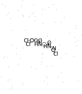 O=C(COc1ccc(Cl)c(Cl)c1)N[C@H]1CC[C@H](C(=O)NCc2ccc(Cl)cn2)CC1